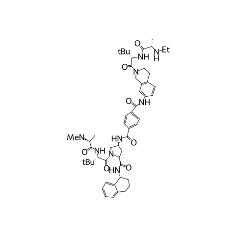 CCN[C@@H](C)C(=O)N[C@H](C(=O)N1CCc2ccc(NC(=O)c3ccc(C(=O)N[C@H]4C[C@@H](C(=O)N[C@@H]5CCCc6ccccc65)N(C(=O)[C@@H](NC(=O)[C@H](C)NC)C(C)(C)C)C4)cc3)cc2C1)C(C)(C)C